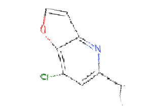 C[CH]c1cc(Cl)c2occc2n1